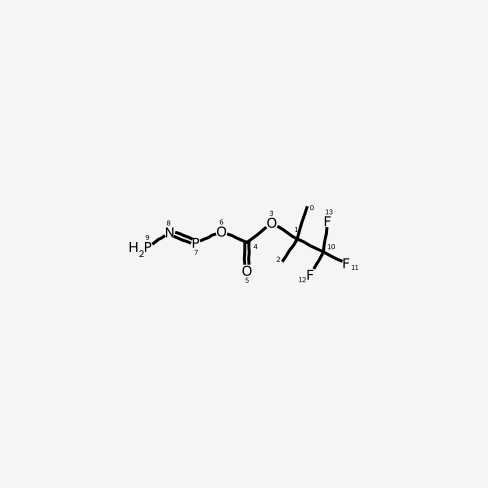 CC(C)(OC(=O)O/P=N/P)C(F)(F)F